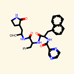 CC(C)CC(NC(=O)C(Cc1cccc2ccccc12)NC(=O)c1cnccn1)C(=O)NC(C=O)CC1CCNC1=O